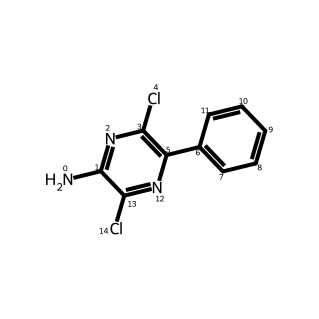 Nc1nc(Cl)c(-c2ccccc2)nc1Cl